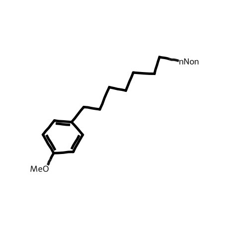 CCCCCCCCCCCCCCCCc1ccc(OC)cc1